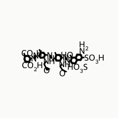 Cc1cc(N=Nc2cc(NCC3CO3)c(N=Nc3c(S(=O)(=O)O)cc4cc(S(=O)(=O)O)c(N)cc4c3O)cc2C)c(NCC2CO2)cc1N=Nc1cc(C(=O)O)cc(C(=O)O)c1